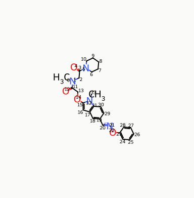 CN(CC(=O)N1CCCCC1)C(=O)COc1cc2cc(/C=N/Oc3ccccc3)ccc2n1C